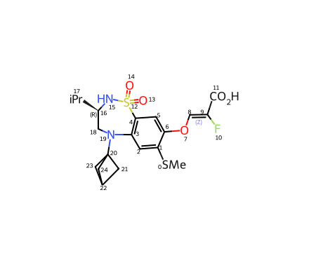 CSc1cc2c(cc1O/C=C(\F)C(=O)O)S(=O)(=O)N[C@H](C(C)C)CN2C12CC(C1)C2